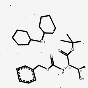 C1CCC(NC2CCCCC2)CC1.C[C@@H](O)[C@H](NC(=O)OCc1ccccc1)C(=O)OC(C)(C)C